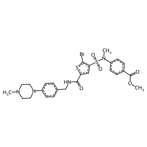 COC(=O)c1ccc(N(C)S(=O)(=O)c2cc(C(=O)NCc3ccc(N4CCN(C)CC4)cc3)sc2Br)cc1